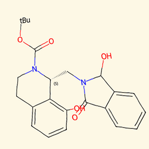 CC(C)(C)OC(=O)N1CCc2cccc(O)c2[C@H]1CN1C(=O)c2ccccc2C1O